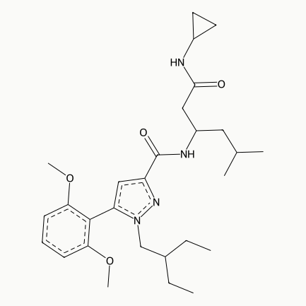 CCC(CC)Cn1nc(C(=O)NC(CC(=O)NC2CC2)CC(C)C)cc1-c1c(OC)cccc1OC